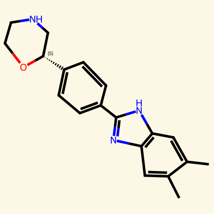 Cc1cc2nc(-c3ccc([C@H]4CNCCO4)cc3)[nH]c2cc1C